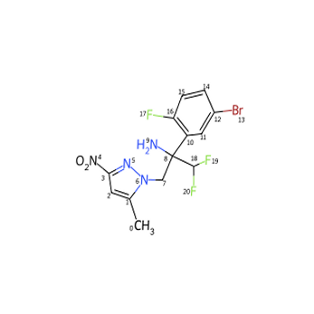 Cc1cc([N+](=O)[O-])nn1CC(N)(c1cc(Br)ccc1F)C(F)F